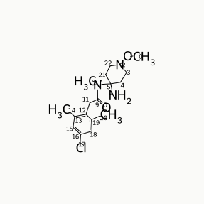 CON1CCC(N)(N(C)C(=O)Cc2c(C)cc(Cl)cc2C)CC1